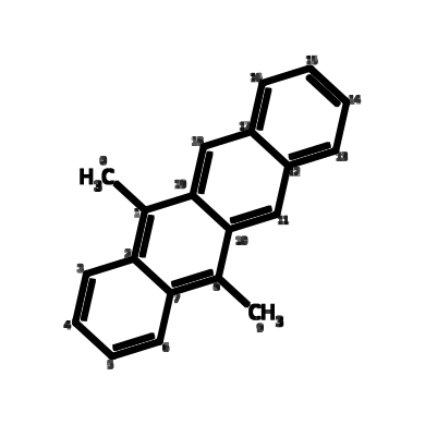 Cc1c2ccccc2c(C)c2cc3ccccc3cc12